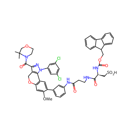 COc1cc2c(cc1-c1cccc(NC(=O)CCNC(=O)[C@H](CS(=O)(=O)O)NC(=O)OCC3c4ccccc4-c4ccccc43)c1)-c1c(c(C(=O)N3CCOCC3(C)C)nn1-c1cc(Cl)cc(Cl)c1)CO2